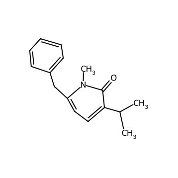 CC(C)c1ccc(Cc2ccccc2)n(C)c1=O